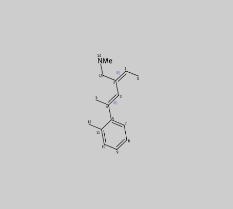 C/C=C(\C=C(/C)c1ccccc1C)CNC